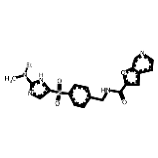 CCN(C)c1ncc(S(=O)(=O)c2ccc(CNC(=O)c3cc4ccncc4o3)cc2)[nH]1